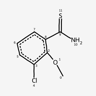 COc1c(Cl)cccc1C(N)=S